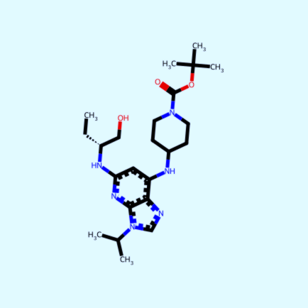 CC[C@H](CO)Nc1cc(NC2CCN(C(=O)OC(C)(C)C)CC2)c2ncn(C(C)C)c2n1